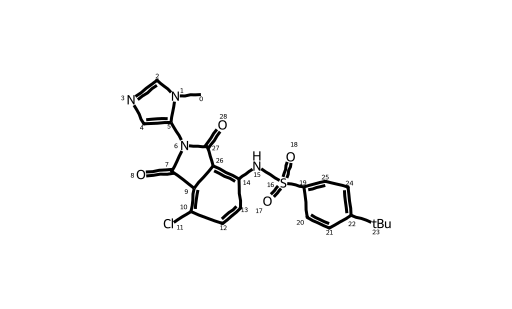 Cn1cncc1N1C(=O)c2c(Cl)ccc(NS(=O)(=O)c3ccc(C(C)(C)C)cc3)c2C1=O